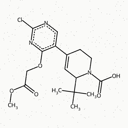 COC(=O)COc1nc(Cl)ncc1C1=CC(C(C)(C)C)N(C(=O)O)CC1